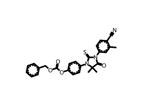 Cc1cc(N2C(=O)C(C)(C)N(c3ccc(OC(=O)OCc4ccccc4)cc3)C2=S)ccc1C#N